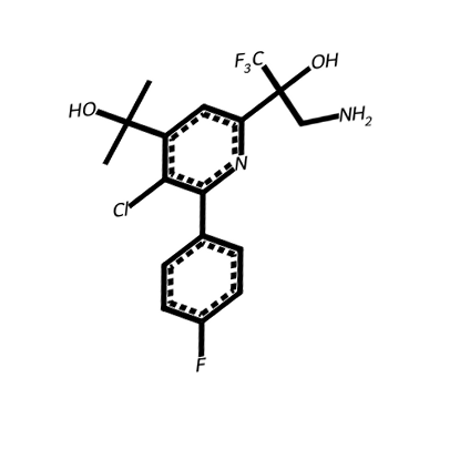 CC(C)(O)c1cc(C(O)(CN)C(F)(F)F)nc(-c2ccc(F)cc2)c1Cl